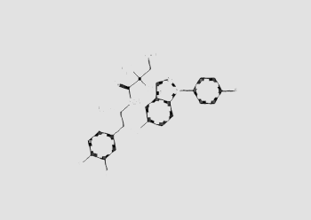 C[C@H](NC(=O)C(C)(C)CO)[C@H](Oc1ccc2c(cnn2-c2ccc(F)cc2)c1)c1ccc(F)c(F)c1